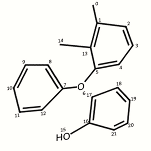 Cc1cccc(Oc2ccccc2)c1C.Oc1ccccc1